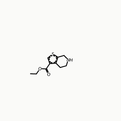 CCOC(=O)c1csc2c1CCNC2